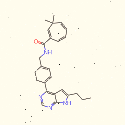 CCCc1cc2c(C3=CC=C(CNC(=O)C4=CC(C)(C)C=CC=C4)CC3)ncnc2[nH]1